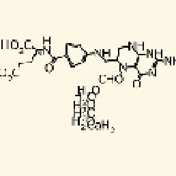 Nc1nc(=O)c2c([nH]1)NCC(CNc1ccc(C(=O)N[C@@H](CCC(=O)O)C(=O)O)cc1)N2C=O.O.O.O.O.O.[CaH2]